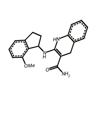 COc1cccc2c1C(NC1=C(C(N)=O)Cc3[c]cccc3N1)CC2